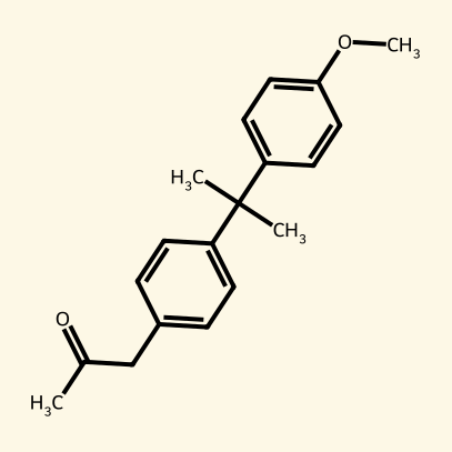 COc1ccc(C(C)(C)c2ccc(CC(C)=O)cc2)cc1